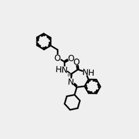 O=C(N[C@@H]1N=C(C2CCCCC2)c2ccccc2NC1=O)OCc1ccccc1